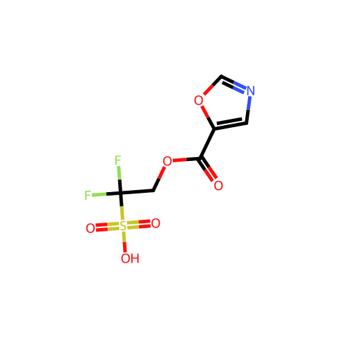 O=C(OCC(F)(F)S(=O)(=O)O)c1cnco1